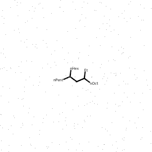 CCCCCCCCC([CH]C(CCCCC)CCCCCC)CC